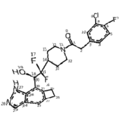 O=C(Cc1ccc(F)c(Cl)c1)N1CCC(C(F)(F)[C@H](O)c2c3c(cc4cn[nH]c24)CC3)CC1